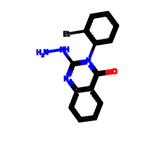 CCc1ccccc1-n1c(NN)nc2ccccc2c1=O